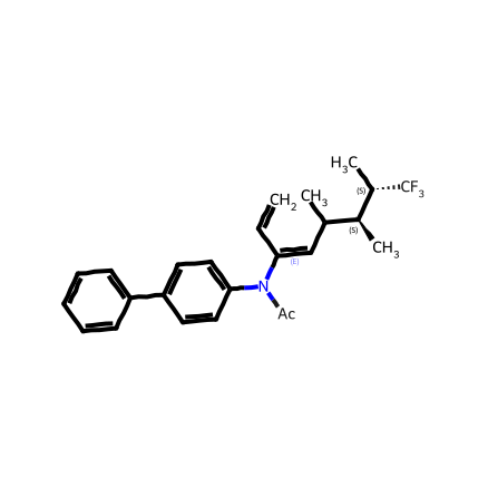 C=C/C(=C\C(C)[C@H](C)[C@H](C)C(F)(F)F)N(C(C)=O)c1ccc(-c2ccccc2)cc1